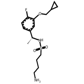 C[C@@H](NS(=O)(=O)CCCCN)c1ccc(F)c(OCC2CC2)c1